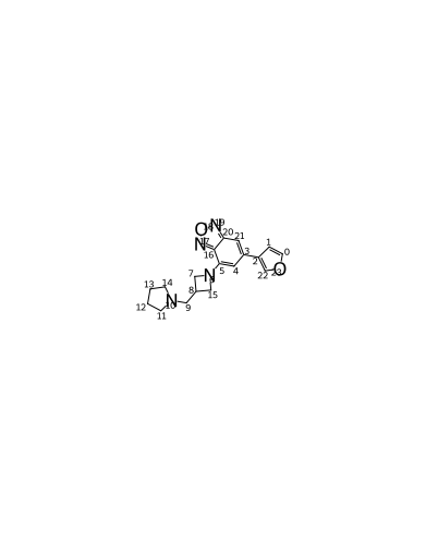 c1cc(-c2cc(N3CC(CN4CCCC4)C3)c3nonc3c2)co1